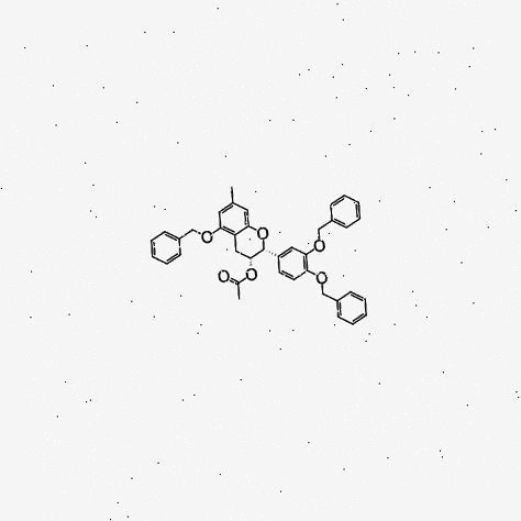 CC(=O)O[C@@H]1Cc2c(OCc3ccccc3)cc(C)cc2O[C@@H]1c1ccc(OCc2ccccc2)c(OCc2ccccc2)c1